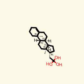 C[C@]12CC[C@H]3[C@@H](CCC4=CCCC[C@@]43C)[C@@H]1CC[C@@H]2CC(O)(O)O